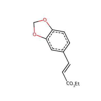 CCOC(=O)C=Cc1ccc2c(c1)OCO2